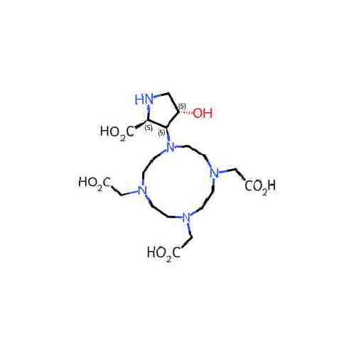 O=C(O)CN1CCN(CC(=O)O)CCN([C@H]2[C@@H](C(=O)O)NC[C@@H]2O)CCN(CC(=O)O)CC1